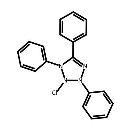 ClN1N(c2ccccc2)N=C(c2ccccc2)N1c1ccccc1